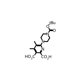 Cc1c(N2CCN(C(=O)OC(C)(C)C)CC2)nc(C(=O)O)c(C(=O)O)c1C